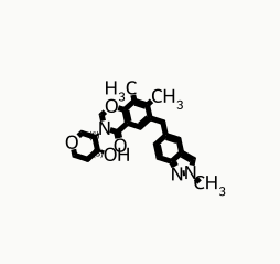 Cc1c(Cc2ccc3nn(C)cc3c2)cc2c(c1C)OCN([C@H]1COCC[C@@H]1O)C2=O